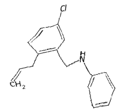 C=CCc1ccc(Cl)cc1CNc1ccccc1